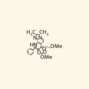 COCCO[C@H]1c2ccn3c(C)c(C)nc3c2N[C@H](c2ccccc2)[C@H]1OC(=O)OC